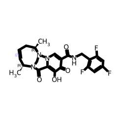 C[C@@H]1/C=C\C[C@@H](C)N2CN1C(=O)c1c(O)c(=O)c(C(=O)NCc3c(F)cc(F)cc3F)cn12